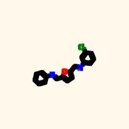 Clc1cccc(N=Cc2ccc(C=Nc3ccccc3)o2)c1